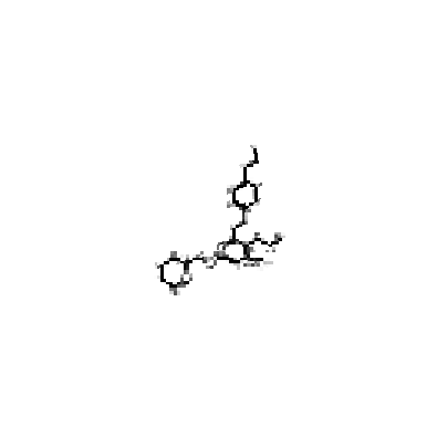 CCCc1ccc(CCc2nc(OCC3CCCCO3)cc(O)c2CCC)cc1